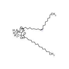 CCCCCCCC/C=C\CCCCCCCC(=O)[P-]C(C(C)(O)C(=O)CCCCCCCCCCCCCCC)[N+](C)(C)C